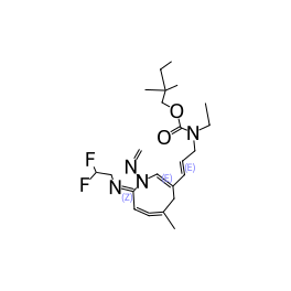 C=NN1/C=C(/C=C/CN(CC)C(=O)OCC(C)(C)CC)CC(C)=C=C/C1=N/CC(F)F